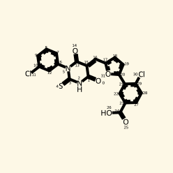 O=C1NC(=S)N(c2cccc(Cl)c2)C(=O)/C1=C/c1ccc(-c2cc(C(=O)O)ccc2Cl)o1